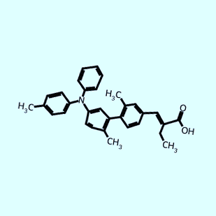 CC/C(=C\c1ccc(-c2cc(N(c3ccccc3)c3ccc(C)cc3)ccc2C)c(C)c1)C(=O)O